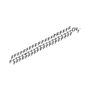 [CH2]C(F)(F)C(F)(F)C(F)(F)C(F)(F)C(F)(F)C(F)(F)C(F)(F)C(F)(F)C(F)(F)C(F)(F)C(F)(F)C(F)(F)C(F)(F)C(F)(F)C(F)(F)C(F)(F)C(F)(F)C(F)(F)C(F)(F)C(F)(F)F